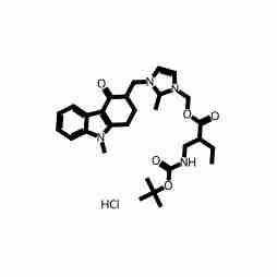 CCC(CNC(=O)OC(C)(C)C)C(=O)OCN1C=CN(CC2CCc3c(c4ccccc4n3C)C2=O)C1C.Cl